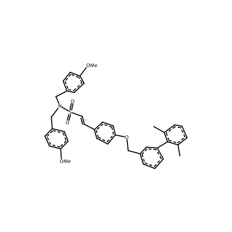 COc1ccc(CN(Cc2ccc(OC)cc2)S(=O)(=O)/C=C/c2ccc(OCc3cccc(-c4c(C)cccc4C)c3)cc2)cc1